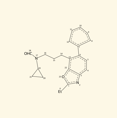 CCc1nc2ccc(-c3ccccc3)c(CCCN(C=O)C3CC3)c2o1